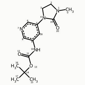 CN1CCN(c2cncc(NC(=O)OC(C)(C)C)c2)C1=O